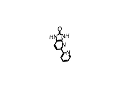 O=c1[nH]c2ccc(-c3ccccn3)nc2[nH]1